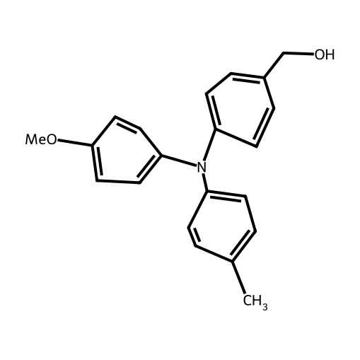 COc1ccc(N(c2ccc(C)cc2)c2ccc(CO)cc2)cc1